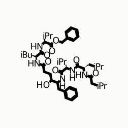 CC[C@H](C)[C@H](NC(=O)CCC(O)C(Cc1ccccc1)NC(=O)[C@@H](NC(=O)[C@H](CC(C)C)NC(=O)CC(C)C)C(C)C)C(=O)N[C@H](C(=O)OCc1ccccc1)C(C)C